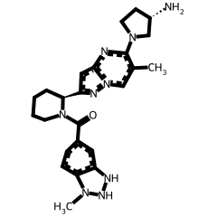 Cc1cn2nc([C@@H]3CCCCN3C(=O)c3ccc4c(c3)NNN4C)cc2nc1N1CC[C@H](N)C1